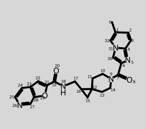 Cc1ccc2nc(C(=O)N3CCC4(CC3)CC4CNC(=O)c3cc4ccncc4o3)cn2c1